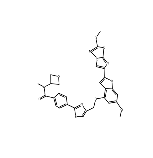 COc1cc(OCc2csc(-c3ccc(C(=O)N(C)C4COC4)cc3)n2)c2cc(-c3cn4nc(OC)sc4n3)oc2c1